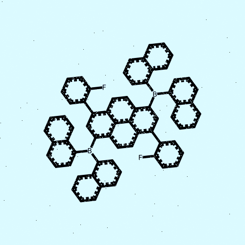 Fc1ccccc1-c1cc(B(c2cccc3ccccc23)c2cccc3ccccc23)c2ccc3c(-c4ccccc4F)cc(B(c4cccc5ccccc45)c4cccc5ccccc45)c4ccc1c2c43